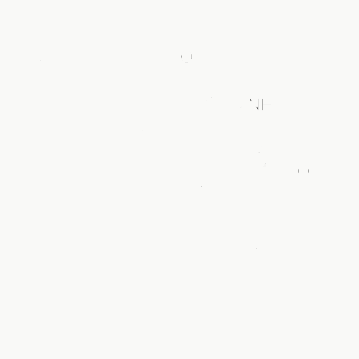 CCCCCCCCCC.O=C1C=CC(=O)N1